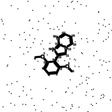 COc1cccc(OC)c1-c1cn2cccnc2n1